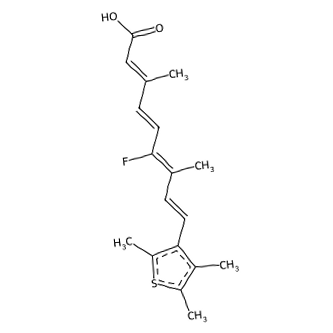 CC(/C=C/c1c(C)sc(C)c1C)=C(F)\C=C\C(C)=C\C(=O)O